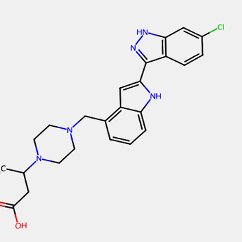 CC(CC(=O)O)N1CCN(Cc2cccc3[nH]c(-c4n[nH]c5cc(Cl)ccc45)cc23)CC1